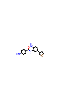 [NH]c1ccc(C(=O)Nc2cc(-c3ccsc3)ccc2N)cc1